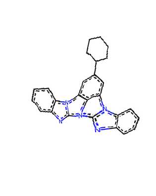 c1ccc2c(c1)nc1n2c2cc(C3CCCCC3)cc3c2n1c1nc2ccccc2n31